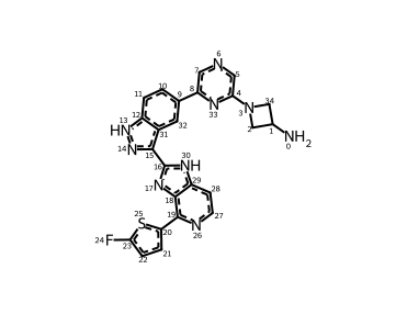 NC1CN(c2cncc(-c3ccc4[nH]nc(-c5nc6c(-c7ccc(F)s7)nccc6[nH]5)c4c3)n2)C1